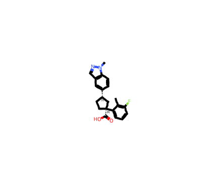 Cc1c(F)cccc1[C@@]1(C(=O)O)CC[C@H](c2ccc3c(cnn3C)c2)C1